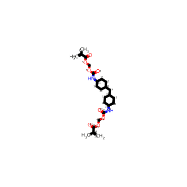 C=C(C)C(=O)OCOC(=O)NC1CCC(CC2CCC(NC(=O)OCOC(=O)C(=C)C)CC2)CC1